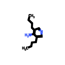 CCCCc1cncc(CCCC)c1N